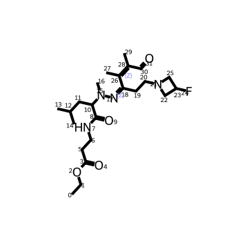 CCOC(=O)CCNC(=O)C(CC(C)C)N(C)/N=C(CCN1CC(F)C1)\C(C)=C(\C)C=O